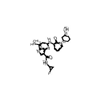 CNc1cc(Nc2cccn([C@H]3CCC[C@@H](O)C3)c2=O)nc2c(C(=O)NC3CC3F)cnn12